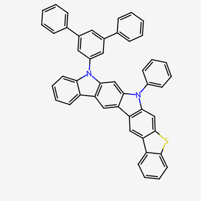 c1ccc(-c2cc(-c3ccccc3)cc(-n3c4ccccc4c4cc5c6cc7c(cc6n(-c6ccccc6)c5cc43)sc3ccccc37)c2)cc1